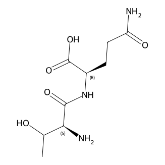 CC(O)[C@H](N)C(=O)N[C@H](CCC(N)=O)C(=O)O